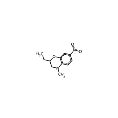 CCC1CN(C)c2ccc([N+](=O)[O-])cc2O1